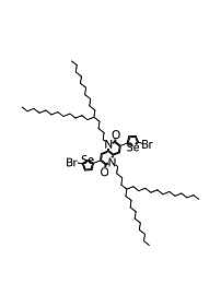 CCCCCCCCCCCCC(CCCCCCCCCC)CCCCn1c(=O)c(-c2ccc(Br)[se]2)cc2c1cc(-c1ccc(Br)[se]1)c(=O)n2CCCCC(CCCCCCCCCC)CCCCCCCCCCCC